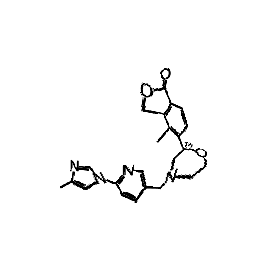 Cc1cn(-c2ccc(CN3CCO[C@H](c4ccc5c(c4C)COC5=O)C3)cn2)cn1